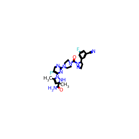 CC1=C[C@@](C)(C(N)=O)NN1c1nc(N2CCN(C(=O)N3N=CCC3c3cc(F)cc(C#N)c3)CC2)ncc1F